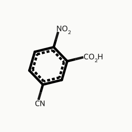 N#Cc1ccc([N+](=O)[O-])c(C(=O)O)c1